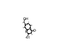 CCc1cc([O])c2ccc(CO)cc2n1